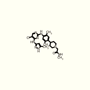 CNC(=O)CN1CCC(c2cc(C)c(Nc3ncc(Cl)c(Nc4cc(C)[nH]n4)n3)cc2C)CC1